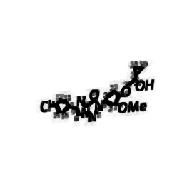 COc1cc(-n2cnn3cc(-c4ccc(Cl)cc4)nc3c2=O)ccc1OCC(O)C1CC1